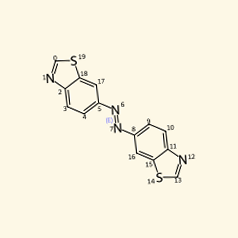 c1nc2ccc(/N=N/c3ccc4ncsc4c3)cc2s1